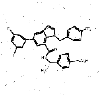 C[C@H](NC(=O)c1cc(-c2cc(F)cc(F)c2)cc2ccn(Cc3ccc(C(F)(F)F)cc3)c12)c1ccc(C(=O)O)cc1